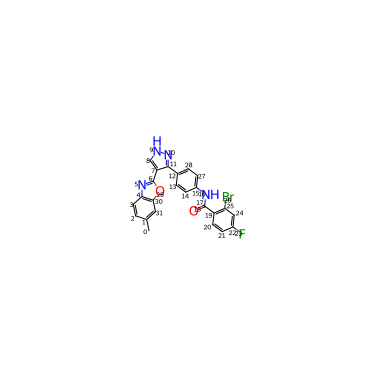 Cc1ccc2nc(-c3c[nH]nc3-c3ccc(NC(=O)c4ccc(F)cc4Br)cc3)oc2c1